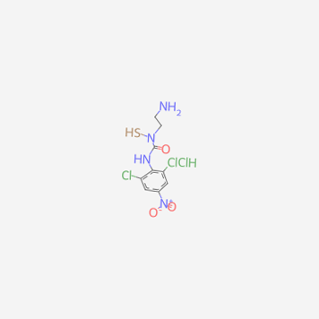 Cl.NCCN(S)C(=O)Nc1c(Cl)cc([N+](=O)[O-])cc1Cl